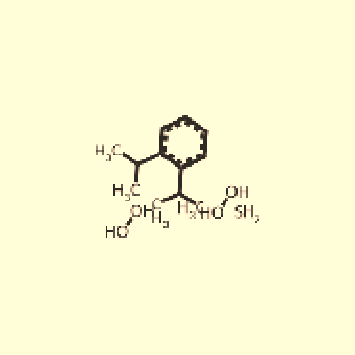 CC(C)c1ccccc1C(C)C.OO.OO.S